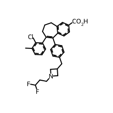 Cc1cccc(C2=C(c3ccc(CC4CN(CCC(F)F)C4)cc3)c3ccc(C(=O)O)cc3CCC2)c1Cl